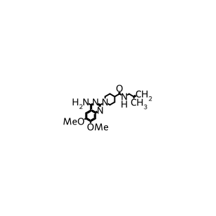 C=C(C)CNC(=O)C1CCN(c2nc(N)c3cc(OC)c(OC)cc3n2)CC1